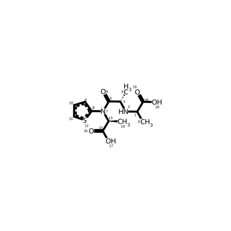 CC(N[C@@H](C)C(=O)N(c1cccs1)[C@@H](C)C(=O)O)C(=O)O